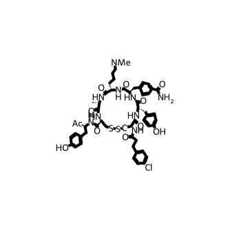 CNCCCC[C@@H]1NC(=O)[C@@H](Cc2ccc(C(N)=O)cc2)NC(=O)[C@H](Cc2ccc(O)cc2)NC(=O)[C@H](NC(=O)CCc2ccc(Cl)cc2)CSSC[C@@H](C(=O)N[C@H](Cc2ccc(O)cc2)C(C)=O)NC(=O)[C@H](C)NC1=O